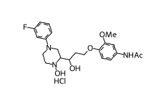 COc1cc(NC(C)=O)ccc1OCCC(O)C1CN(c2cccc(F)c2)CCN1O.Cl